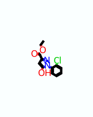 CCOC(=O)c1cc(O)n(-c2ccccc2Cl)n1